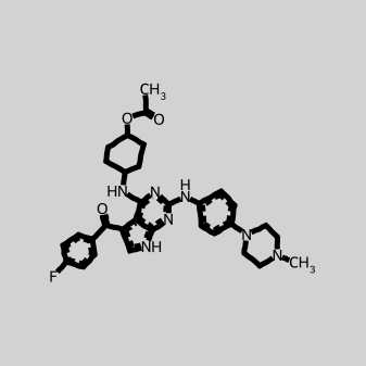 CC(=O)OC1CCC(Nc2nc(Nc3ccc(N4CCN(C)CC4)cc3)nc3[nH]cc(C(=O)c4ccc(F)cc4)c23)CC1